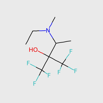 CCN(C)C(C)C(O)(C(F)(F)F)C(F)(F)F